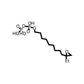 CCC1(CCCCCCCCCOP(=O)(O)OP(=O)(O)O)CO1